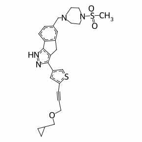 CS(=O)(=O)N1CCN(Cc2ccc3c(c2)Cc2c(-c4csc(C#CCOCC5CC5)c4)n[nH]c2-3)CC1